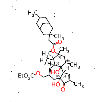 CCOC(=O)OCC1=C[C@H]2C(C)(C)[C@](C)(OC(=O)CC3(C)CC4CC(C)CC(C4)C3)C[C@@H](C)[C@]2(O)[C@@H]2C=C(C)C(=O)[C@@]2(O)C1